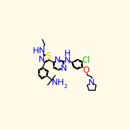 CCNc1nc(-c2cccc(C(C)(C)N)c2)c(-c2ccnc(Nc3ccc(OCCN4CCCC4)c(Cl)c3)n2)s1